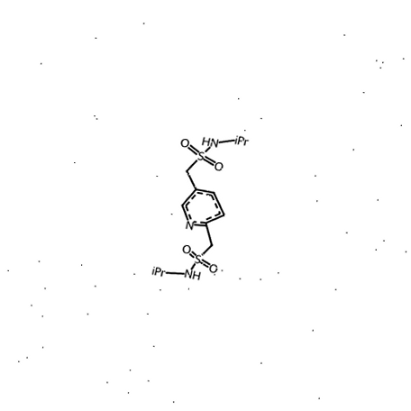 CC(C)NS(=O)(=O)Cc1ccc(CS(=O)(=O)NC(C)C)nc1